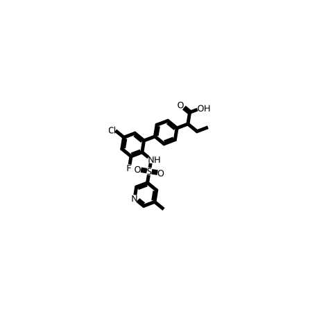 CCC(C(=O)O)c1ccc(-c2cc(Cl)cc(F)c2NS(=O)(=O)c2cncc(C)c2)cc1